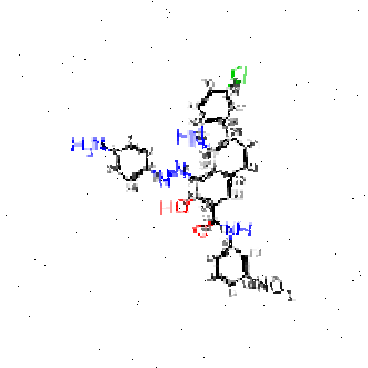 Nc1ccc(N=Nc2c(O)c(C(=O)Nc3cccc([N+](=O)[O-])c3)cc3ccc4c5cc(Cl)ccc5[nH]c4c23)cc1